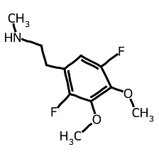 CNCCc1cc(F)c(OC)c(OC)c1F